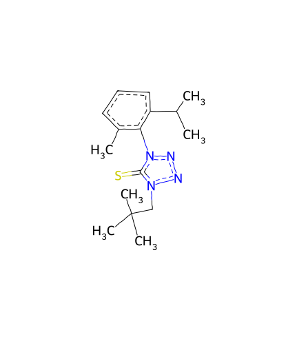 Cc1cccc(C(C)C)c1-n1nnn(CC(C)(C)C)c1=S